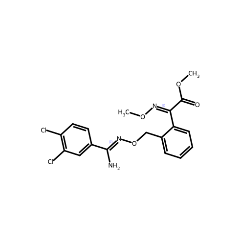 CO/N=C(/C(=O)OC)c1ccccc1CO/N=C(\N)c1ccc(Cl)c(Cl)c1